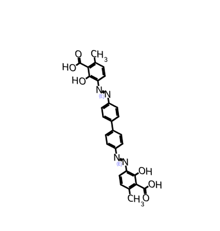 Cc1ccc(/N=N/c2ccc(-c3ccc(/N=N/c4ccc(C)c(C(=O)O)c4O)cc3)cc2)c(O)c1C(=O)O